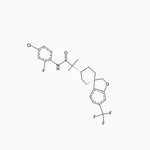 CC(C)(C(=O)Nc1ccc(Cl)cc1F)[C@H]1CC[C@]2(CC1)COc1cc(C(F)(F)F)ccc12